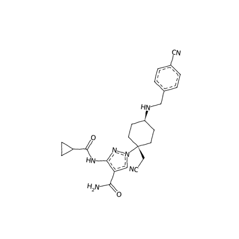 N#CC[C@]1(n2cc(C(N)=O)c(NC(=O)C3CC3)n2)CC[C@H](NCc2ccc(C#N)cc2)CC1